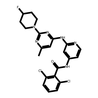 Cc1cc(Nc2cc(NC(=O)c3c(Cl)cccc3Cl)ccn2)nc(N2CCC(F)CC2)n1